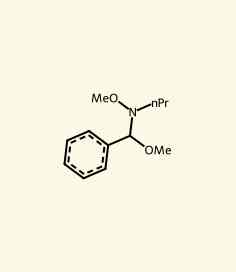 CCCN(OC)C(OC)c1ccccc1